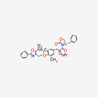 CCCO[C@@H](Cc1cc(C)c(OCCc2nc(-c3ccccc3)oc2C)c(C)c1)C(=O)N1C(=O)OC[C@@H]1Cc1ccccc1